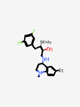 CCc1ccc2c(c1)[C@H](NC[C@H](O)[C@H](Cc1cc(F)cc(F)c1)NC(C)=O)CCN2C